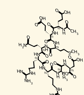 CSCC[C@H](NC(=O)[C@H](CCC(=O)O)NC(=O)[C@H](CCC(=O)O)NC(C)=O)C(=O)N[C@@H](CCC(N)=O)C(=O)N[C@@H](CCCNC(=N)N)C(=O)N[C@@H](CCCNC(=N)N)C(=O)N[C@@H](C)C(=O)N[C@@H](CC(=O)O)C(=O)O